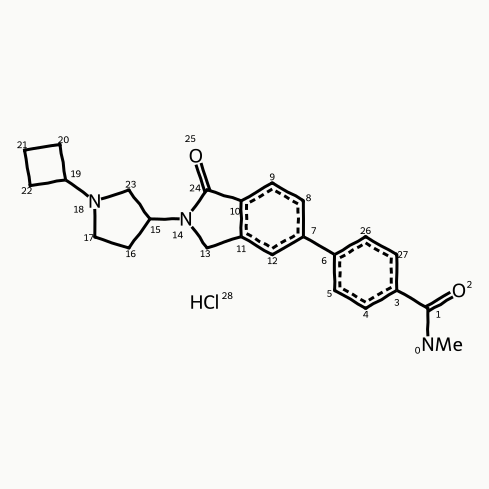 CNC(=O)c1ccc(-c2ccc3c(c2)CN(C2CCN(C4CCC4)C2)C3=O)cc1.Cl